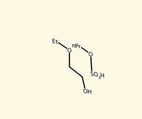 CCCOS(=O)(=O)O.CCOCCO